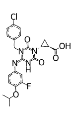 CC(C)Oc1ccc(/N=c2\[nH]c(=O)n([C@@H]3C[C@H]3C(=O)O)c(=O)n2Cc2ccc(Cl)cc2)cc1F